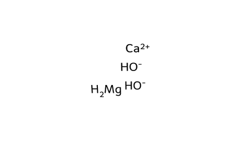 [Ca+2].[MgH2].[OH-].[OH-]